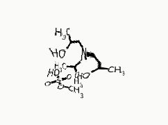 CC(O)CN(CC(C)O)C(C)C.COS(=O)(=O)O